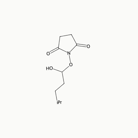 CC(C)CCC(O)ON1C(=O)CCC1=O